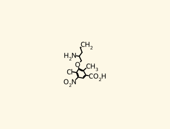 C=CCC(N)COc1c(C)c(C(=O)O)cc([N+](=O)[O-])c1Cl